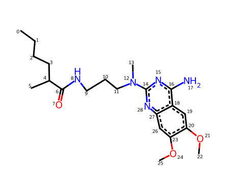 CCCCC(C)C(=O)NCCCN(C)c1nc(N)c2cc(OC)c(OC)cc2n1